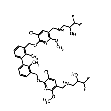 COc1nc(OCc2cccc(-c3cccc(COc4nc(OC)c(CNCC(O)C(F)F)cc4Cl)c3C)c2C)c(Cl)cc1CNCC(O)C(F)F